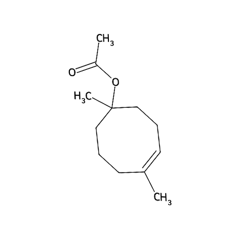 CC(=O)OC1(C)CC/C=C(/C)CCC1